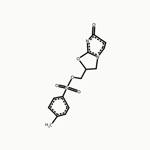 Cc1ccc(S(=O)(=O)OCC2Cn3ccc(=O)nc3O2)cc1